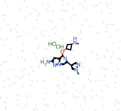 CN[C@H]1C[C@@H](Oc2nc(-c3cnn(C)c3)cn3nc(N)cc23)C1.Cl.Cl